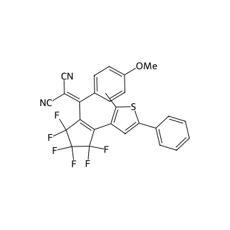 COc1ccc(C(=C(C#N)C#N)C2=C(c3cc(-c4ccccc4)sc3C)C(F)(F)C(F)(F)C2(F)F)cc1